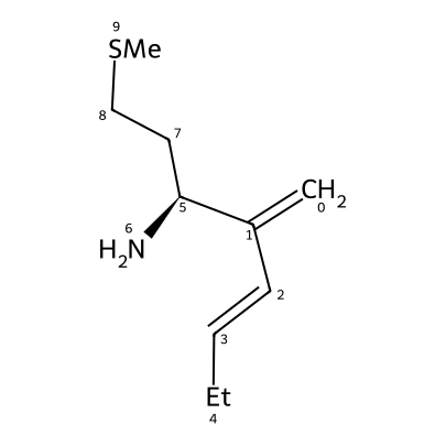 C=C(/C=C/CC)[C@@H](N)CCSC